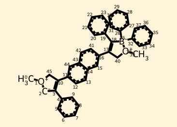 C[O+]1[CH-]C(c2ccccc2)=C(c2ccc3cc(C4=C(c5ccccc5)[B-](c5ccccc5)(c5ccccc5)[O+](C)C4)ccc3c2)C1